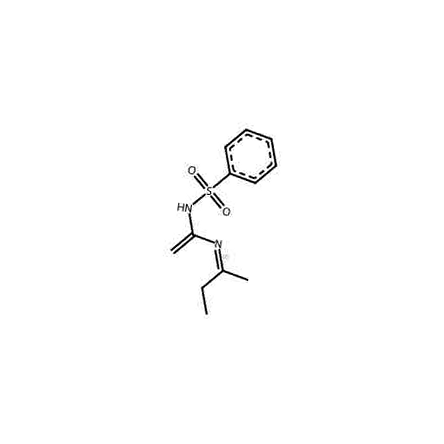 C=C(/N=C(/C)CC)NS(=O)(=O)c1ccccc1